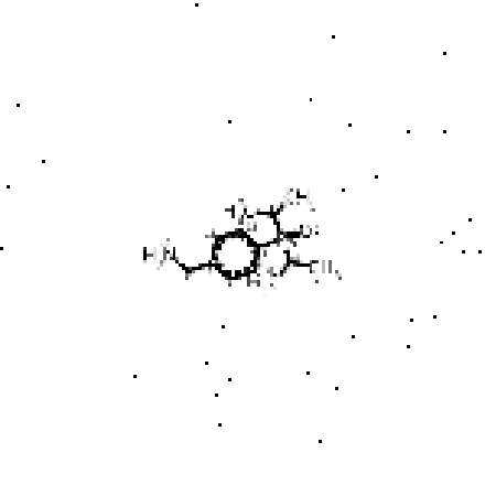 CC(C)P(=O)(c1ccc(CN)cc1)C(C)C